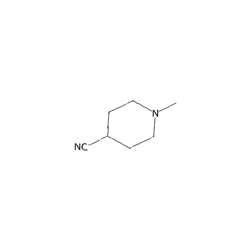 CN1CCC(C#N)CC1